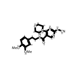 COc1ccc(CCNC(=O)c2cnc(SC#N)nc2N2CCOCC2)cc1OC